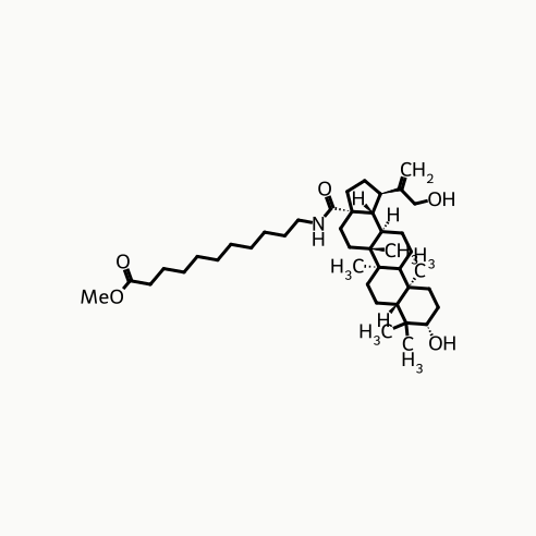 C=C(CO)[C@@H]1CC[C@]2(C(=O)NCCCCCCCCCCC(=O)OC)CC[C@]3(C)[C@H](CCC4[C@@]5(C)CC[C@H](O)C(C)(C)[C@@H]5CC[C@]43C)[C@@H]12